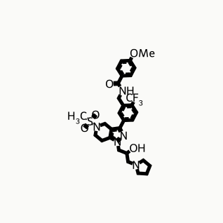 COc1ccc(C(=O)NCc2cc(-c3nn(CC(O)CN4CCCC4)c4c3CN(S(C)(=O)=O)CC4)ccc2C(F)(F)F)cc1